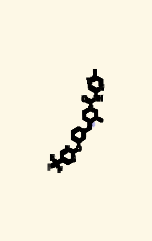 Cc1cnc(NC(=O)N2CC/C(=C\c3cccc(Oc4ncc(C(F)(F)F)cn4)c3)C(C)C2)cn1